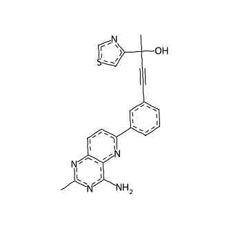 Cc1nc(N)c2nc(-c3cccc(C#CC(C)(O)c4cscn4)c3)ccc2n1